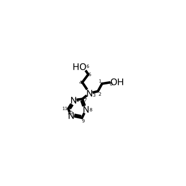 OCCN(CCO)c1ncncn1